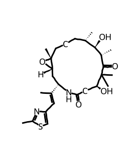 CC(=Cc1csc(C)n1)[C@@H]1C[C@@H]2O[C@]2(C)CCC[C@H](C)[C@@H](O)[C@H](C)C(=O)C(C)(C)[C@@H](O)CC(=O)N1